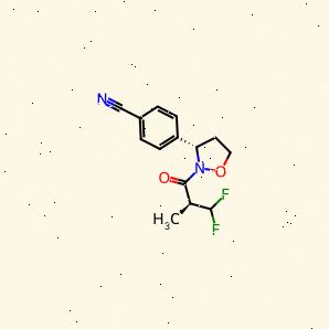 C[C@@H](C(=O)N1OCC[C@H]1c1ccc(C#N)cc1)C(F)F